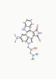 CCN(CC)CC(O)Cn1cc(C2=C(c3c[nH]c4ccccc34)C(=O)NC2=O)c2ccc(N(C)C)cc21